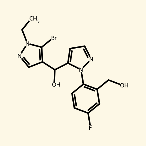 CCn1ncc(C(O)c2ccnn2-c2ccc(F)cc2CO)c1Br